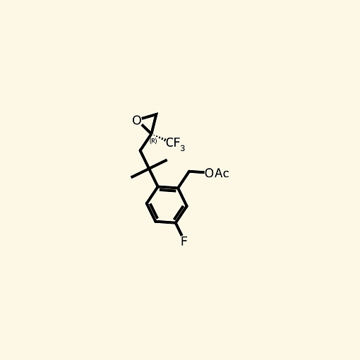 CC(=O)OCc1cc(F)ccc1C(C)(C)C[C@]1(C(F)(F)F)CO1